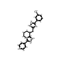 Clc1cccc(-c2nc(CC3CCCn4c(-c5ccncc5)nnc43)no2)c1